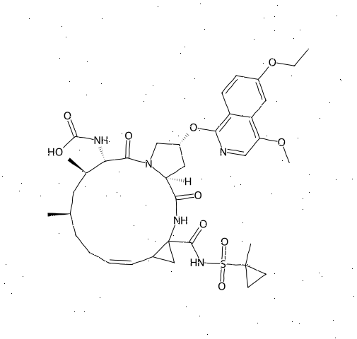 CCOc1ccc2c(O[C@@H]3C[C@H]4C(=O)NC5(C(=O)NS(=O)(=O)C6(C)CC6)CC5/C=C\CC[C@@H](C)C[C@@H](C)[C@H](NC(=O)O)C(=O)N4C3)ncc(OC)c2c1